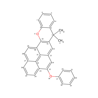 CC1(C)c2ccccc2Oc2c1cc1cc(Oc3ccccc3)c3cccc4ccc2c1c43